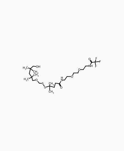 CC(C)(CO)CC(C)(C)COCSSC(C)(C)CCC(=O)NCCOCCOCCNC(=O)C(F)(F)F